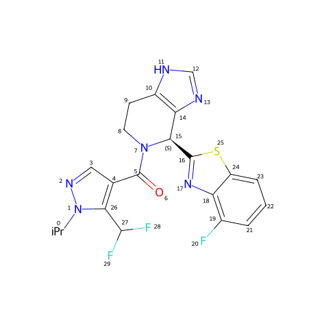 CC(C)n1ncc(C(=O)N2CCc3[nH]cnc3[C@H]2c2nc3c(F)cccc3s2)c1C(F)F